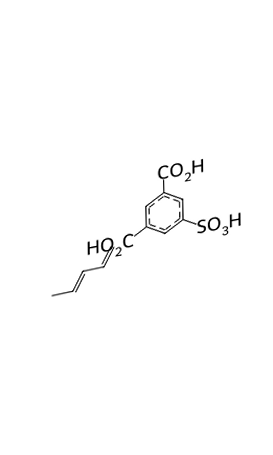 C=CC=CC.O=C(O)c1cc(C(=O)O)cc(S(=O)(=O)O)c1